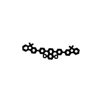 CC1(C)c2ccccc2-c2ccc(-c3ccc4c(c3)Oc3ccc5c6c(ccc-4c36)-c3ccc(-c4ccc6c(c4)C(C)(C)C4C=CC=CC64)cc3O5)cc21